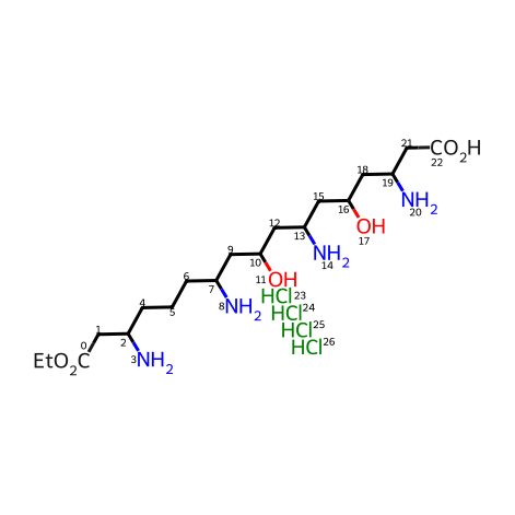 CCOC(=O)CC(N)CCCC(N)CC(O)CC(N)CC(O)CC(N)CC(=O)O.Cl.Cl.Cl.Cl